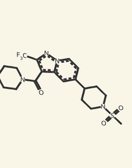 CS(=O)(=O)N1CCC(c2ccn3nc(C(F)(F)F)c(C(=O)N4CCCCC4)c3c2)CC1